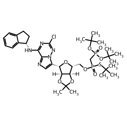 CC(C)(C)OP(=O)(CP(=O)(OC[C@H]1O[C@@H](c2cnc3c(N[C@H]4CCc5ccccc54)nc(Cl)nn23)[C@@H]2OC(C)(C)O[C@@H]21)SC(C)(C)C)OC(C)(C)C